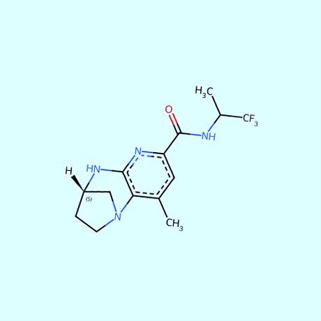 Cc1cc(C(=O)NC(C)C(F)(F)F)nc2c1N1CC[C@@H](C1)N2